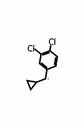 Clc1ccc([CH]C2CC2)cc1Cl